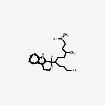 CCC1(C(CCCO)CCC(C)CCN(C)C)OCCc2c1[nH]c1ccccc21